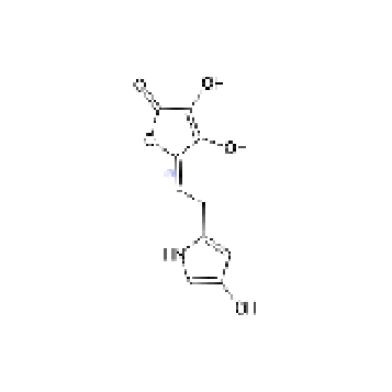 O=C1O/C(=C/Cc2cc(O)c[nH]2)C(O)=C1O